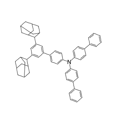 c1ccc(-c2ccc(N(c3ccc(-c4ccccc4)cc3)c3ccc(-c4cc(C5C6CC7CC(C6)CC5C7)cc(C5C6CC7CC(C6)CC5C7)c4)cc3)cc2)cc1